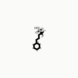 O=S(=O)(O)C(F)(F)CCCC1CCCCC1